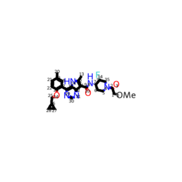 COCC(=O)N1CC[C@H](NC(=O)c2c(C)[nH]c3c(-c4cc(C)ccc4OCC4CC4)ncnc23)[C@H](F)C1